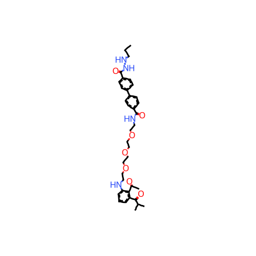 CCCNNC(=O)c1ccc(-c2ccc(C(=O)NCCOCCOCCOCCNc3cccc(C(=O)C(C)C)c3C(C)=O)cc2)cc1